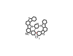 N#Cc1cc(-c2cc(-n3c4ccccc4c4ccc5sc6ccccc6c5c43)ncc2-n2c3ccccc3c3ccc4sc5ccccc5c4c32)cc(C(F)(F)F)c1